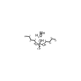 CCCCOP(=S)(S)OCCCC.O.[Mo]